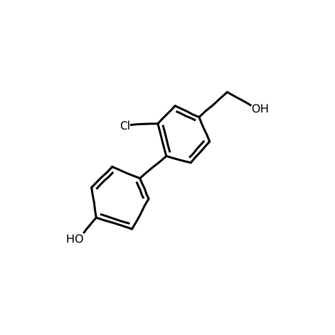 OCc1ccc(-c2ccc(O)cc2)c(Cl)c1